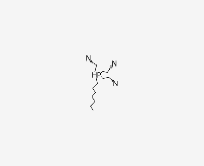 CCCCCCCC[PH](CCC#N)(CCC#N)CCC#N